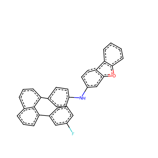 Fc1cccc(-c2cccc3cccc(-c4ccc(Nc5ccc6c(c5)oc5ccccc56)cc4)c23)c1